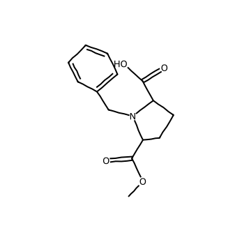 COC(=O)C1CCC(C(=O)O)N1Cc1ccccc1